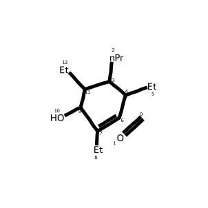 C=O.CCCC1C(CC)C=C(CC)C(O)C1CC